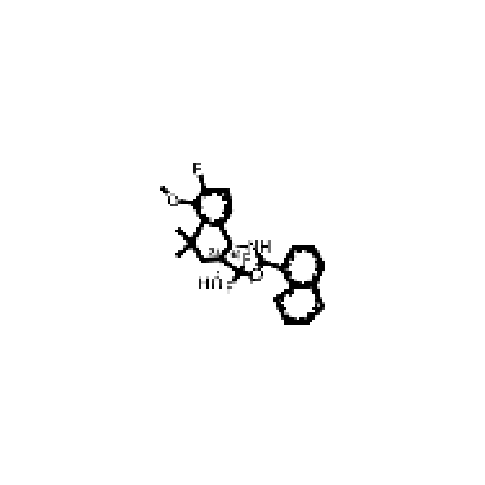 COc1c(F)ccc2c1C(C)(C)C[C@](O)(C(F)(F)F)[C@@H]2NC(=O)c1cccc2ccccc12